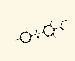 COc1ccc(S(=O)(=O)c2cc(C)c(C(=O)CBr)c(C)c2)cc1